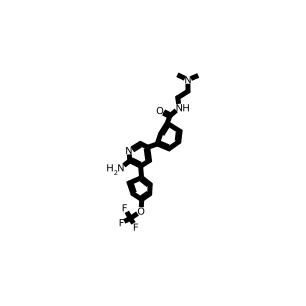 CN(C)CCNC(=O)c1cccc(-c2cnc(N)c(-c3ccc(OC(F)(F)F)cc3)c2)c1